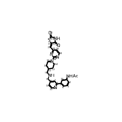 CC(=O)Nc1cccc(-c2cc(CNCC3CCN(c4nccc(C=C5SC(=O)NC5=O)n4)CC3)ccn2)c1